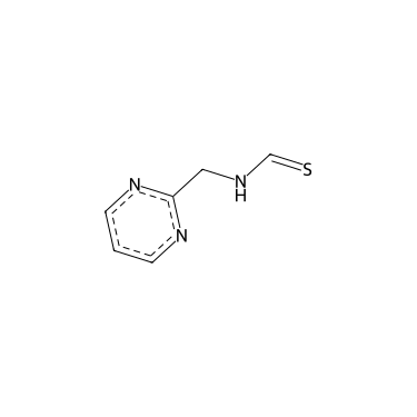 S=CNCc1ncccn1